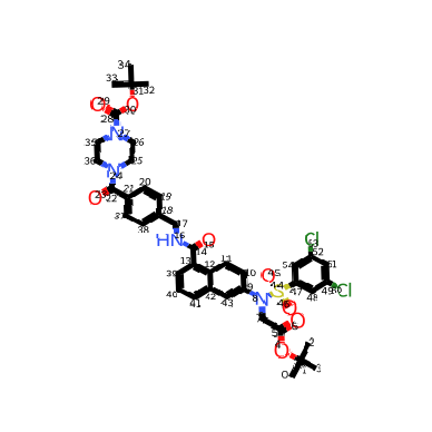 CC(C)(C)OC(=O)CN(c1ccc2c(C(=O)NCc3ccc(C(=O)N4CCN(C(=O)OC(C)(C)C)CC4)cc3)cccc2c1)S(=O)(=O)c1cc(Cl)cc(Cl)c1